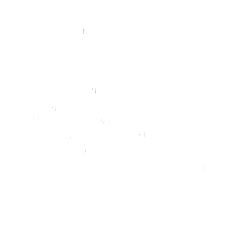 CCCCC(O)C(CC1CC1)C(=O)NC1N=C(c2nccs2)c2ccccc2N(C)C1=O